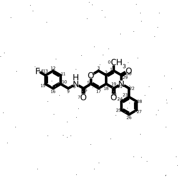 CC1=C2COC(C(=O)NCc3ccc(F)cc3)=CC2C(=O)N(Cc2ccccc2)C1=O